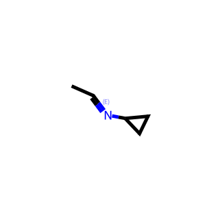 C/C=N/C1CC1